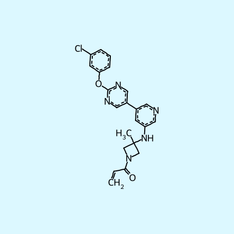 C=CC(=O)N1CC(C)(Nc2cncc(-c3cnc(Oc4cccc(Cl)c4)nc3)c2)C1